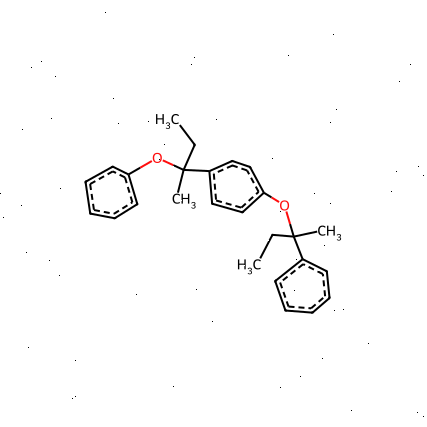 CCC(C)(Oc1ccc(C(C)(CC)Oc2ccccc2)cc1)c1ccccc1